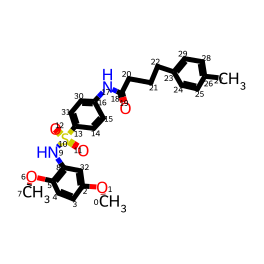 COc1ccc(OC)c(NS(=O)(=O)c2ccc(NC(=O)CCCc3ccc(C)cc3)cc2)c1